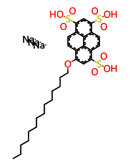 CCCCCCCCCCCCCCOc1cc(S(=O)(=O)O)c2ccc3c(S(=O)(=O)O)cc(S(=O)(=O)O)c4ccc1c2c43.[Na].[Na].[Na]